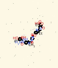 CCc1c2c(nc3ccc(OC(=O)N4CCN(C(=O)c5cc6cc(N(C(=N)c7cc(C(C)C)c(O)cc7O)C(N)=O)ccc6n5C)CC4)cc13)-c1cc3c(c(=O)n1C2)COC(=O)C3(O)CC